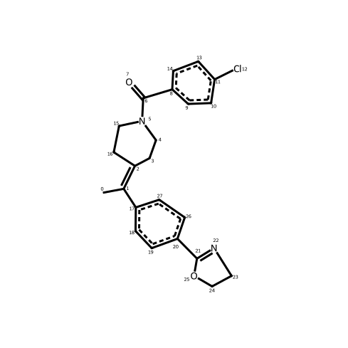 CC(=C1CCN(C(=O)c2ccc(Cl)cc2)CC1)c1ccc(C2=NCCO2)cc1